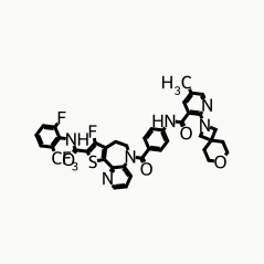 Cc1cnc(N2CC3(CCOCC3)C2)c(C(=O)Nc2ccc(C(=O)N3CCc4c(sc(C(=O)Nc5c(F)cccc5C(F)(F)F)c4F)-c4ncccc43)cc2)c1